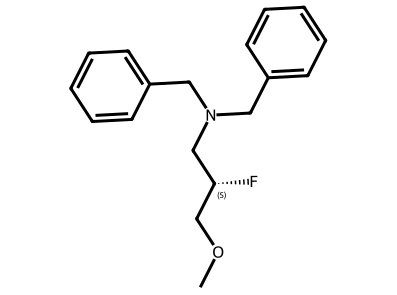 COC[C@@H](F)CN(Cc1ccccc1)Cc1ccccc1